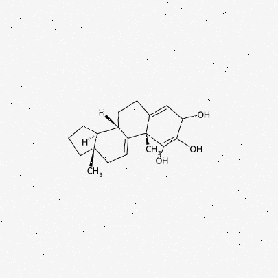 C[C@@]12C(=CC(O)C(O)=C1O)CC[C@@H]1C2=CC[C@]2(C)CCC[C@@H]12